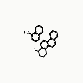 FC1CCCc2c1ccc1c2ccc2ccccc21.Oc1cccc2ccccc12